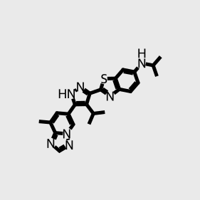 Cc1cc(-c2[nH]nc(-c3nc4ccc(NC(C)C)cc4s3)c2C(C)C)cn2ncnc12